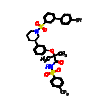 CC(C)c1ccc(-c2cccc(S(=O)(=O)N3CCC[C@H](c4cccc(OC(C)(C)C(=O)NS(=O)(=O)c5ccc(C(F)(F)F)cc5)c4)C3)c2)cc1